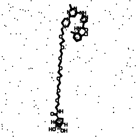 Cc1nc(Nc2ncc(C(=O)Nc3c(C)cccc3Cl)s2)cc(N2CCN(CCOCCOCCOCCOCCOCCOCCOCCNC(=O)[C@H]3C[C@@H]4C[C@H]3[C@@H](O)[C@H]4O)CC2)n1